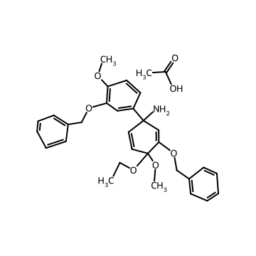 CC(=O)O.CCOC1(OC)C=CC(N)(c2ccc(OC)c(OCc3ccccc3)c2)C=C1OCc1ccccc1